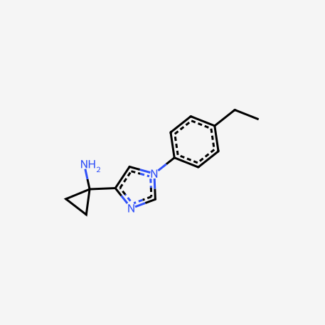 CCc1ccc(-n2cnc(C3(N)CC3)c2)cc1